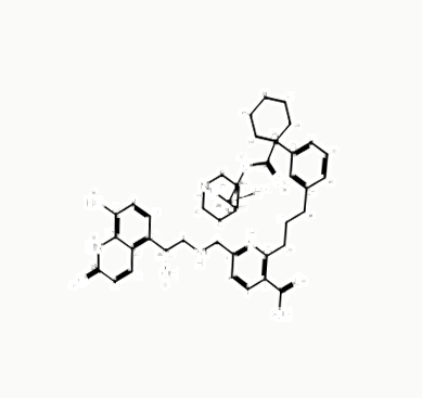 O=C(O)c1ccc(CNC[C@H](O)c2ccc(O)c3[nH]c(=O)ccc23)nc1CCCc1cccc(C2(C(=O)O[C@H]3CN4CCC3CC4)CCCCC2)c1